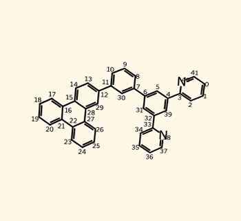 c1ccc(-c2cc(-c3cccc(-c4ccc5c6ccccc6c6ccccc6c5c4)c3)cc(-c3ccccn3)c2)nc1